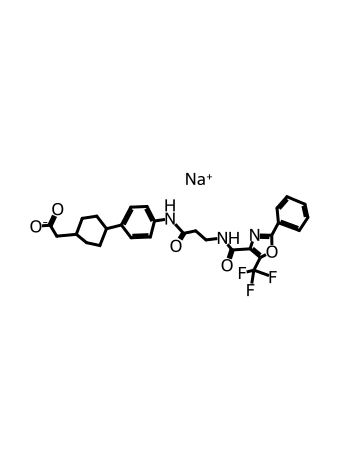 O=C([O-])CC1CCC(c2ccc(NC(=O)CCNC(=O)c3nc(-c4ccccc4)oc3C(F)(F)F)cc2)CC1.[Na+]